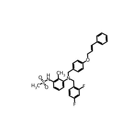 Cc1c(NS(C)(=O)=O)cccc1N(Cc1ccc(OCC=Cc2ccccc2)cc1)Cc1ccc(F)cc1F